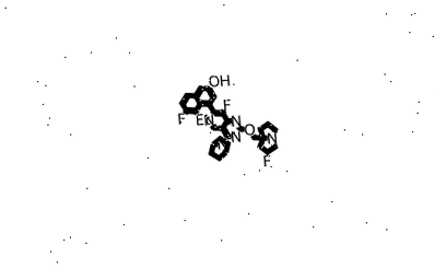 CCc1c(F)ccc2cc(O)cc(-c3ncc4c(N5C6CCC5CC6)nc(OCC56CCCN5C[C@H](F)C6)nc4c3F)c12